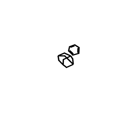 C1[C]2CC3CC1CC(C2)C3.c1ccccc1